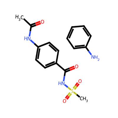 CC(=O)Nc1ccc(C(=O)NS(C)(=O)=O)cc1.Nc1ccccc1